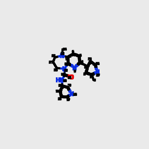 Cc1cc(-c2ccc3c(n2)N(C(=O)Nc2cccnc2)CCCN3C)ccn1